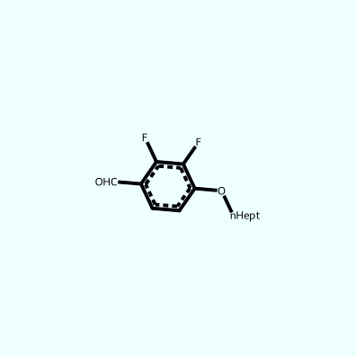 CCCCCCCOc1ccc(C=O)c(F)c1F